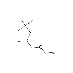 C=COCC(C)CC(C)(C)C